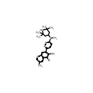 Cc1cnc2cc(-c3ccc(N(C)C4CC(C)(C)NC(C)(C)C4)nn3)c(O)c(Br)c2c1